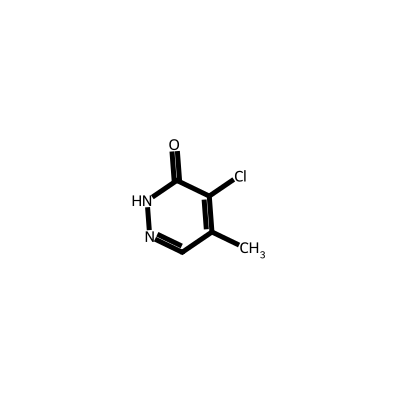 Cc1cn[nH]c(=O)c1Cl